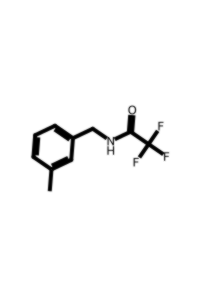 Cc1cccc(CNC(=O)C(F)(F)F)c1